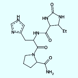 CCC1NC(=O)NC1C(=O)NC(Cc1c[nH]cn1)C(=O)N1CCCC1C(N)=O